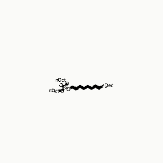 CCCCCCCCCCCCCCCCCCOP(=O)(OCCCCCCCC)OCCCCCCCC